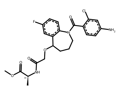 COC(=O)[C@H](C)NC(=O)COC1CCCN(C(=O)c2ccc(N)cc2Cl)c2ccc(F)cc21